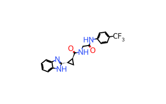 O=C(CNC(=O)[C@H]1C[C@@H]1c1nc2ccccc2[nH]1)Nc1ccc(C(F)(F)F)cc1